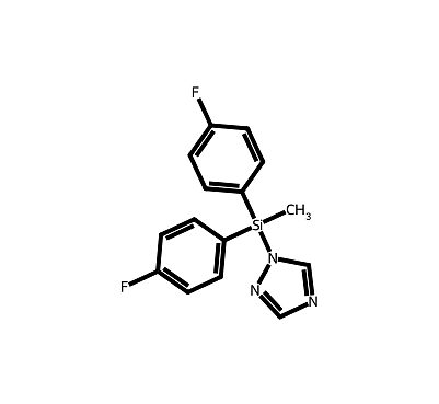 C[Si](c1ccc(F)cc1)(c1ccc(F)cc1)n1cncn1